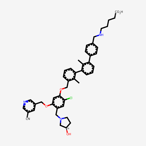 Cc1c(COc2cc(OCc3cncc(C#N)c3)c(CN3CC[C@@H](O)C3)cc2Cl)cccc1-c1cccc(-c2ccc(CNCCCCC(=O)O)cc2)c1C